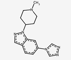 CN1CCC(n2ncc3ccc(-n4cnnc4)cc32)CC1